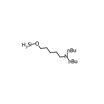 CCCCN(CCCC)CCCCCO[SiH3]